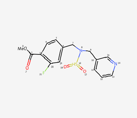 COC(=O)c1ccc(CN(Cc2cccnc2)[SH](=O)=O)cc1F